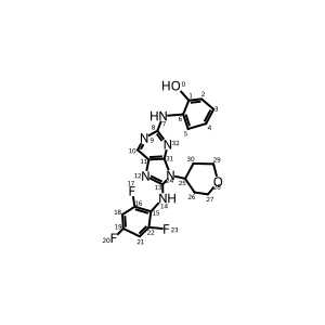 Oc1ccccc1Nc1ncc2nc(Nc3c(F)cc(F)cc3F)n(C3CCOCC3)c2n1